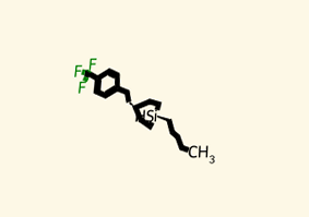 CCCCC[Si@H]1CC[C@H](CCc2ccc(C(F)(F)F)cc2)CC1